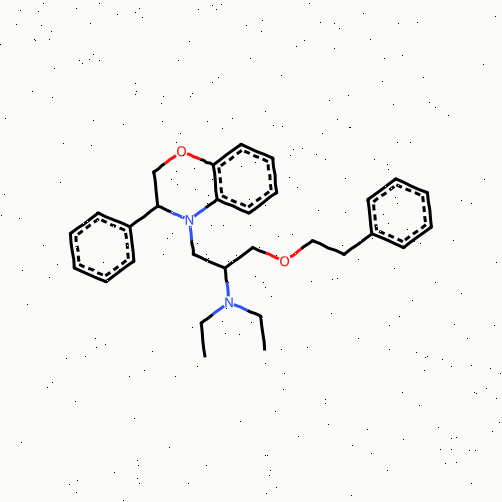 CCN(CC)C(COCCc1ccccc1)CN1c2ccccc2OCC1c1ccccc1